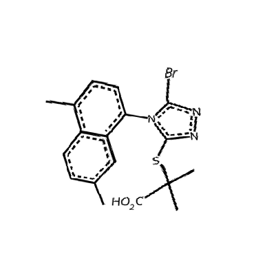 Cc1ccc2c(C)ccc(-n3c(Br)nnc3SC(C)(C)C(=O)O)c2c1